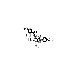 CC1=NN(c2ccc(C(F)(F)F)cc2)C(=O)/C1=C(/C)NNC(=O)c1ccc(O)cc1O